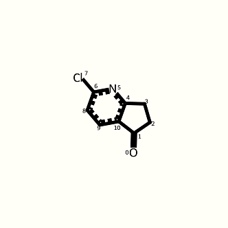 O=C1CCc2nc(Cl)ccc21